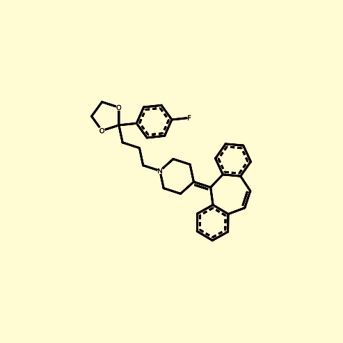 Fc1ccc(C2(CCCN3CCC(=C4c5ccccc5C=Cc5ccccc54)CC3)OCCO2)cc1